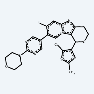 Cc1nc(C2OCCc3nc4cc(F)c(-c5cnc(N6CCOCC6)nc5)cn4c32)c(Cl)s1